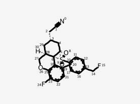 N#CC[C@@H]1CC[C@@]2(S(=O)(=O)c3ccc(CF)cc3)c3c(F)ccc(F)c3OC[C@H]2C1